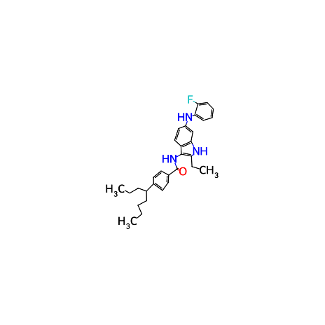 CCCCC(CCC)c1ccc(C(=O)Nc2c(CC)[nH]c3cc(Nc4ccccc4F)ccc23)cc1